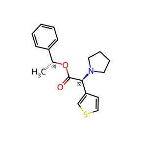 C[C@@H](OC(=O)[C@H](c1ccsc1)N1CCCC1)c1ccccc1